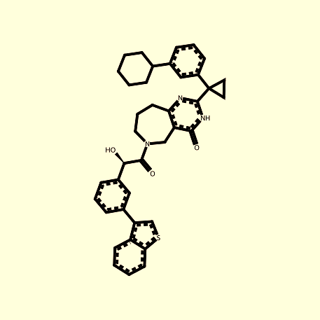 O=C([C@H](O)c1cccc(-c2csc3ccccc23)c1)N1CCCc2nc(C3(c4cccc(C5CCCCC5)c4)CC3)[nH]c(=O)c2C1